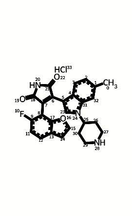 Cc1ccc2c(C3=C(c4c(F)ccc5ccoc45)C(=O)NC3=O)cn(C3CCNCC3)c2c1.Cl